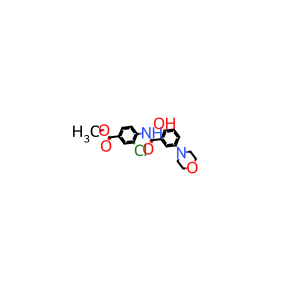 COC(=O)c1ccc(NC(=O)c2cc(N3CCOCC3)ccc2O)c(Cl)c1